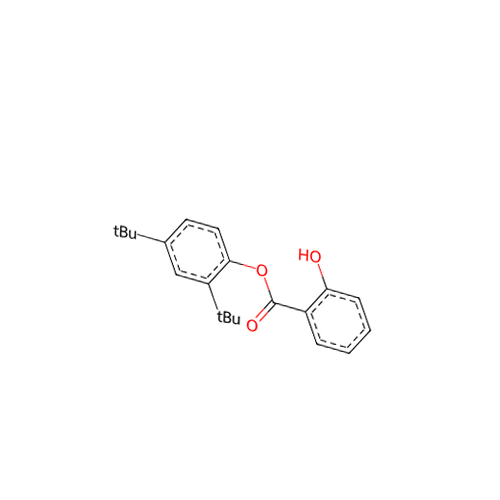 CC(C)(C)c1ccc(OC(=O)c2ccccc2O)c(C(C)(C)C)c1